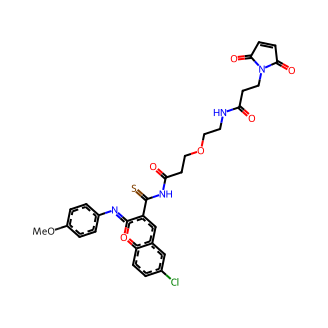 COc1ccc(/N=c2\oc3ccc(Cl)cc3cc2C(=S)NC(=O)CCOCCNC(=O)CCN2C(=O)C=CC2=O)cc1